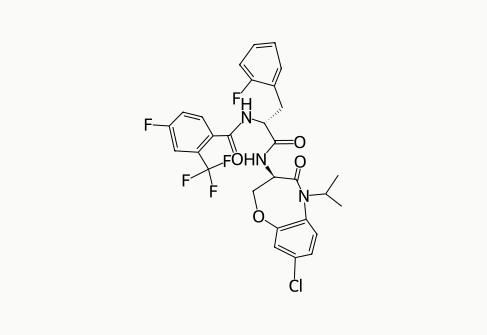 CC(C)N1C(=O)[C@H](NC(=O)[C@@H](Cc2ccccc2F)NC(=O)c2ccc(F)cc2C(F)(F)F)COc2cc(Cl)ccc21